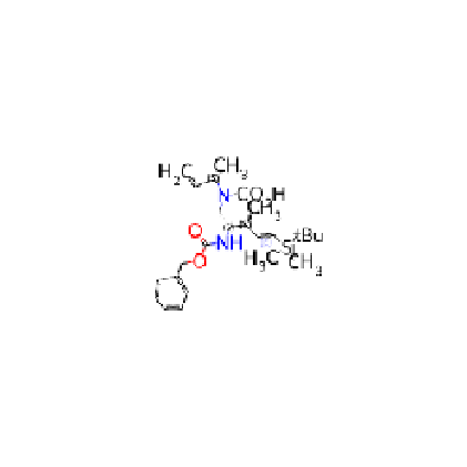 C=C[C@H](C)N(C[C@@H](NC(=O)OCc1ccccc1)[C@@H](C)/C=C/[Si](C)(C)C(C)(C)C)C(=O)O